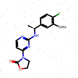 COc1cc([C@H](C)Nc2nccc(N3CCOC3=O)n2)ccc1F